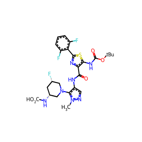 Cn1ncc(NC(=O)c2nc(-c3c(F)cccc3F)sc2NC(=O)OC(C)(C)C)c1N1C[C@@H](F)C[C@@H](NC(=O)O)C1